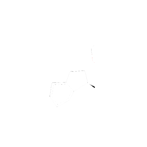 CCO[C@H]1Cc2ccccc2[C@@H]1C